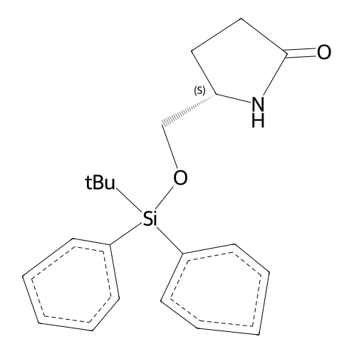 CC(C)(C)[Si](OC[C@@H]1CCC(=O)N1)(c1ccccc1)c1ccccc1